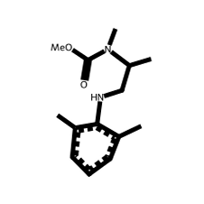 COC(=O)N(C)C(C)CNc1c(C)cccc1C